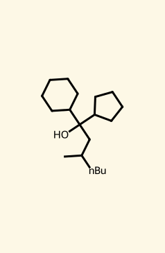 CCCCC(C)CC(O)(C1CCCCC1)C1CCCC1